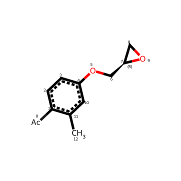 CC(=O)c1ccc(OC[C@H]2CO2)cc1C